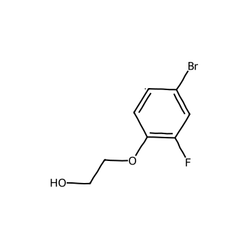 OCCOc1c[c]c(Br)cc1F